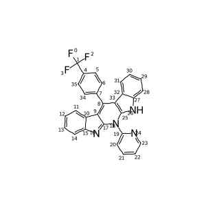 FC(F)(F)c1ccc(-c2c3c4ccccc4nc-3n(-c3ccccn3)c3[nH]c4ccccc4c23)cc1